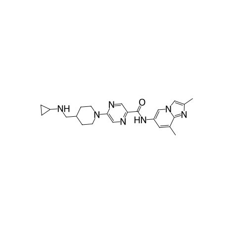 Cc1cn2cc(NC(=O)c3cnc(N4CCC(CNC5CC5)CC4)cn3)cc(C)c2n1